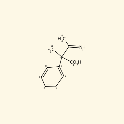 CC(=N)C(C(=O)O)(c1ccccc1)C(F)(F)F